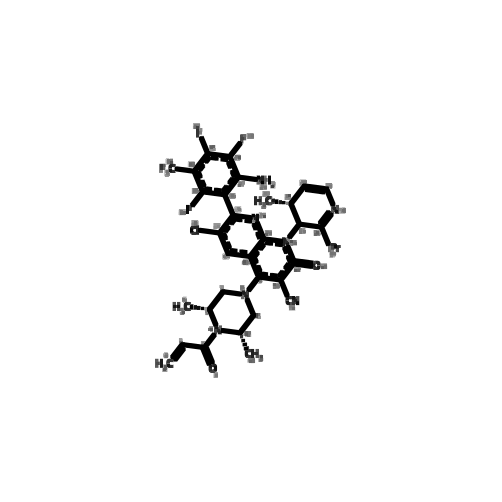 C=CC(=O)N1[C@H](C)CN(c2c(C#N)c(=O)n(C3C(C(C)C)=NC=C[C@H]3C)c3nc(-c4c(N)c(F)c(F)c(C(F)(F)F)c4F)c(Cl)cc23)C[C@@H]1C